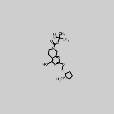 CN1CCC[C@H]1COc1nc(O)c2c(n1)CN(C(=O)OC(C)(C)C)CC2